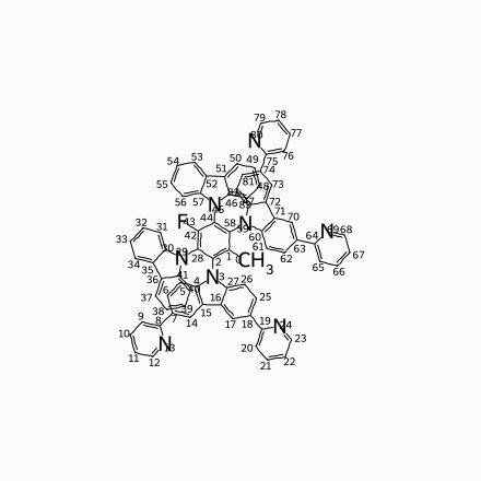 Cc1c(-n2c3ccc(-c4ccccn4)cc3c3cc(-c4ccccn4)ccc32)c(-n2c3ccccc3c3ccccc32)c(F)c(-n2c3ccccc3c3ccccc32)c1-n1c2ccc(-c3ccccn3)cc2c2cc(-c3ccccn3)ccc21